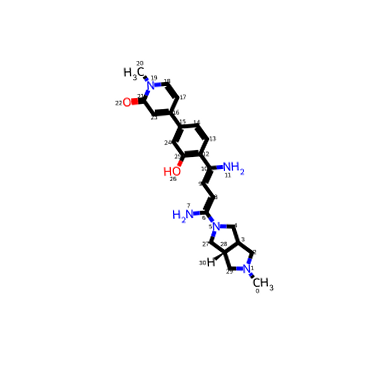 CN1CC2CN(/C(N)=C/C=C(\N)c3ccc(-c4ccn(C)c(=O)c4)cc3O)C[C@H]2C1